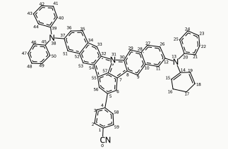 N#Cc1ccc(-c2cc3c4cc5cc(N(C6=CCCC=C6)c6ccccc6)ccc5cc4n4c5cc6ccc(N(c7ccccc7)c7ccccc7)cc6cc5c(c2)c34)cc1